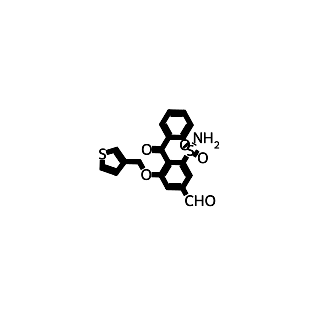 NS(=O)(=O)c1cc(C=O)cc(OCc2ccsc2)c1C(=O)c1ccccc1